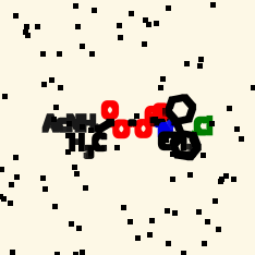 CC(=O)NC(C)C(=O)OCOC(=O)N(C)C1(c2ccccc2Cl)CCCCC1=O